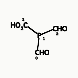 O=CP(C=O)C(=O)O